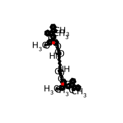 COc1ccc(C2(c3ccc(OCCOC(=O)NCCCCCCNC(=O)OCCOc4ccc(C5(c6ccc(OC)cc6)C=Cc6c7c(c8ccccc8c6O5)-c5ccccc5C7(C)C)cc4)cc3)C=Cc3c4c(c5ccccc5c3O2)-c2ccccc2C4(C)C)cc1